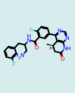 C[C@@H]1CC(=O)Nc2ncnc(-c3ccc(F)c(C(=O)NC(CN)Cc4cccc(F)c4)c3)c21